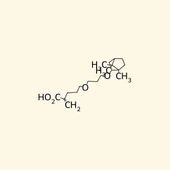 C=C(CCCOCCCOC1CC2CCC1(C)C2(C)C)C(=O)O